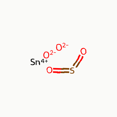 O=S=O.[O-2].[O-2].[Sn+4]